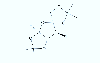 CC1(C)OC2[C@@H](O1)O[C@]1(COC(C)(C)O1)[C@H]2I